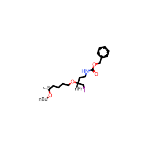 CCCCO[C@H](C)CCCCOC(CI)(CCC)CCNC(=O)OCc1ccccc1